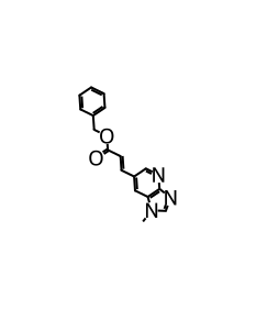 Cn1cnc2ncc(/C=C/C(=O)OCc3ccccc3)cc21